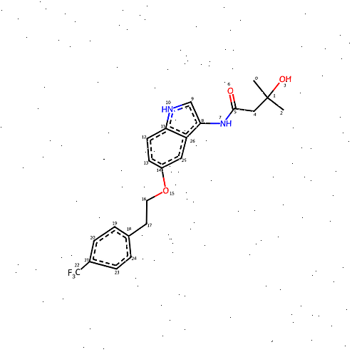 CC(C)(O)CC(=O)Nc1c[nH]c2ccc(OCCc3ccc(C(F)(F)F)cc3)cc12